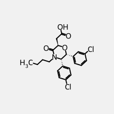 CCCCN1C(=O)[C@@H](CC(=O)O)O[C@H](c2cccc(Cl)c2)[C@@H]1c1ccc(Cl)cc1